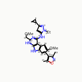 CCn1nc(C2CC2)cc1NC1=NC(COC)Nc2[nH]c3cc(-c4c(C)noc4C)c(OC)cc3c21